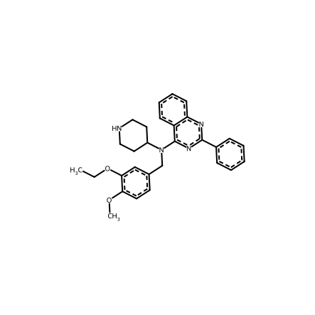 CCOc1cc(CN(c2nc(-c3ccccc3)nc3ccccc23)C2CCNCC2)ccc1OC